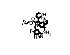 CN(C)CCOC(=O)c1c(-c2ccc[nH]c2=O)c2c3occc3c(F)cc2n1Cc1cc2c(N)n[nH]c2cc1F